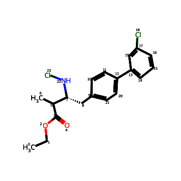 CCOC(=O)C(C)[C@@H](Cc1ccc(-c2cccc(Cl)c2)cc1)NCl